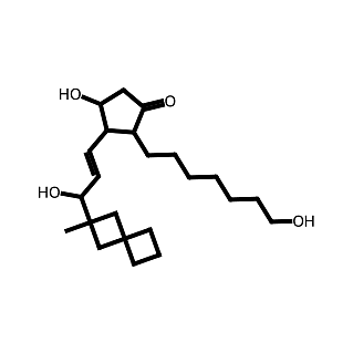 CC1(C(O)/C=C/C2C(O)CC(=O)C2CCCCCCCO)CC2(CCC2)C1